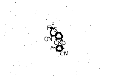 N#Cc1cc(F)cc(Oc2ccc3c(c2C#N)C(N=O)CC(F)(F)S3)c1